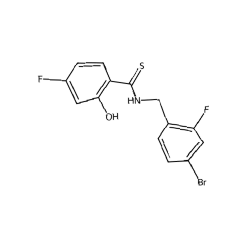 Oc1cc(F)ccc1C(=S)NCc1ccc(Br)cc1F